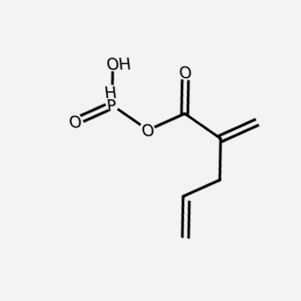 C=CCC(=C)C(=O)O[PH](=O)O